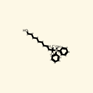 CC(C)(CCCCCCCCCO)[Si](O)(c1ccccc1)c1ccccc1